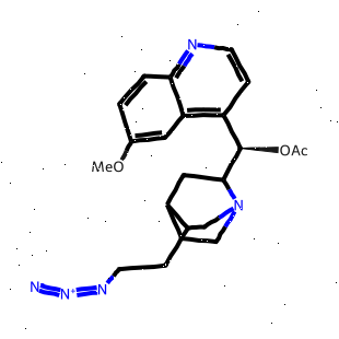 COc1ccc2nccc([C@@H](OC(C)=O)C3CC4CCN3CC4CCN=[N+]=[N-])c2c1